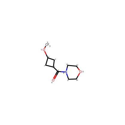 O=C(C1CC(OC(F)(F)F)C1)N1CCOCC1